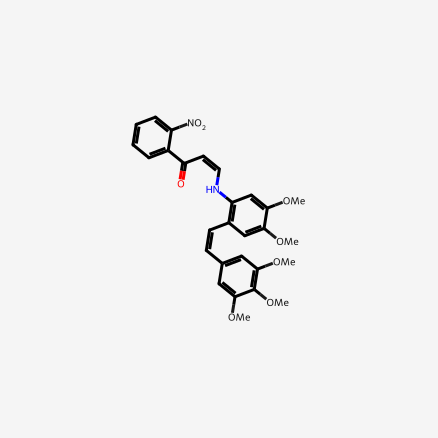 COc1cc(/C=C\c2cc(OC)c(OC)c(OC)c2)c(N/C=C\C(=O)c2ccccc2[N+](=O)[O-])cc1OC